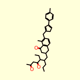 CCCC(CC1CC(=O)c2c(ccc(CC3=CC(c4ccc(C)cc4)=CC3)c2C)C1)C(CC)C(=O)CC(C)=O